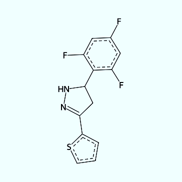 Fc1cc(F)c(C2CC(c3cccs3)=NN2)c(F)c1